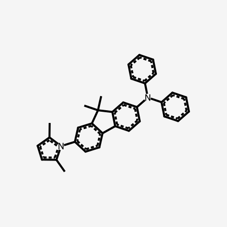 Cc1ccc(C)n1-c1ccc2c(c1)C(C)(C)c1cc(N(c3ccccc3)c3ccccc3)ccc1-2